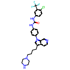 O=C(Nc1ccc(-n2cc(CCCCN3CCNCC3)c3ccncc32)cc1)Nc1ccc(Cl)c(C(F)(F)F)c1